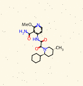 COc1nccc(NC(=O)C(=O)N2C[C@H](C)CC[C@H]2C2CCCCC2)c1C(N)=O